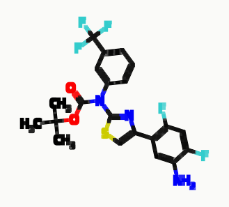 CC(C)(C)OC(=O)N(c1cccc(C(F)(F)F)c1)c1nc(-c2cc(N)c(F)cc2F)cs1